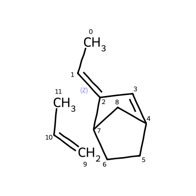 C/C=C1\C=C2CCC1C2.C=CC